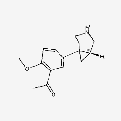 COc1ccc(C23CNC[C@@H]2C3)cc1C(C)=O